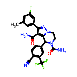 Cc1cc(F)cc(-c2nn3c(c2C(N)=O)C(c2ccc(C#N)c(C(F)(F)F)c2)N(C(N)=O)CC3)c1